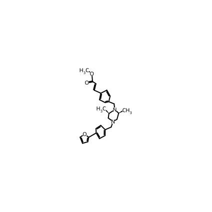 COC(=O)/C=C/c1ccc(CN2[C@H](C)CN(Cc3ccc(-c4ccco4)cc3)C[C@@H]2C)cc1